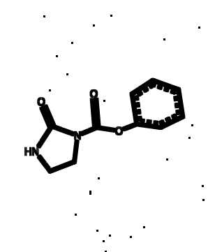 O=C1NCCN1C(=O)Oc1ccccc1